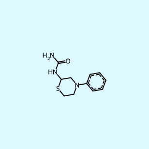 NC(=O)NC1CN(c2ccccc2)CCS1